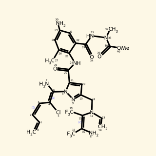 C=C/C=C\C(Cl)=C(/N)n1nc(CN(C=C)/C(=C(\N)C(F)(F)F)C(F)(F)F)cc1C(=O)Nc1c(C)cc(N)cc1C(=O)NN(C)C(=O)OC